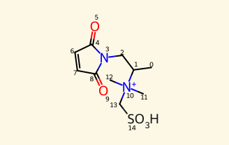 CC(CN1C(=O)C=CC1=O)[N+](C)(C)CS(=O)(=O)O